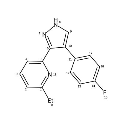 CCc1cccc(-c2n[nH]cc2-c2ccc(F)cc2)n1